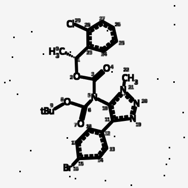 C[C@@H](OC(=O)N(C(=O)OC(C)(C)C)c1c(-c2ccc(Br)cc2)nnn1C)c1ccccc1Cl